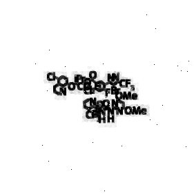 CC(C)OC(=O)c1cc(-c2nn(C)c(C(F)(F)F)c2Br)c(F)cc1Cl.COc1cc(OC)nc(NC(=O)NS(=O)(=O)c2ncccc2C(F)(F)F)n1.O=C(O)COc1ccc(Cl)c2cccnc12